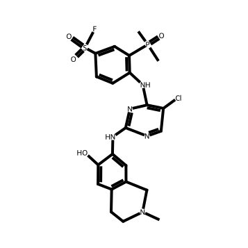 CN1CCc2cc(O)c(Nc3ncc(Cl)c(Nc4ccc(S(=O)(=O)F)cc4P(C)(C)=O)n3)cc2C1